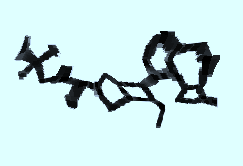 CC[C@H]1C2CN(C(=O)NCC(F)(F)F)CC2C1c1cnc2cnc3[nH]ccc3n12